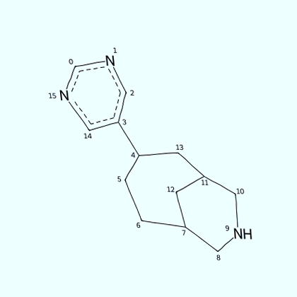 c1ncc(C2CCC3CNCC(C3)C2)cn1